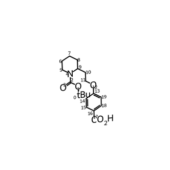 CC(C)(C)OC(=O)N1CCCCC1CCOc1ccc(C(=O)O)cc1